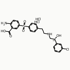 Cl.Cl.Nc1ccc(S(=O)(=O)c2ccc(CCNC[C@@H](O)c3cccc(Cl)c3)cc2)cc1C(=O)O